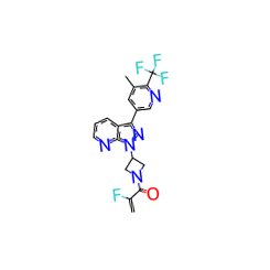 C=C(F)C(=O)N1CC(n2nc(-c3cnc(C(F)(F)F)c(C)c3)c3cccnc32)C1